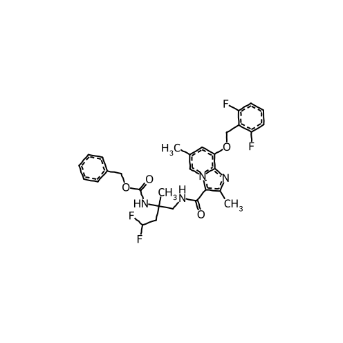 Cc1cc(OCc2c(F)cccc2F)c2nc(C)c(C(=O)NCC(C)(CC(F)F)NC(=O)OCc3ccccc3)n2c1